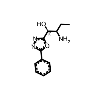 CCC(N)[C@H](O)c1nnc(-c2ccccc2)o1